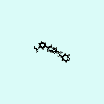 CN(C)c1cccc(-c2cn3nc(NCC4CCOCC4)sc3n2)c1